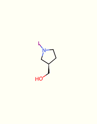 OC[C@@H]1CCN(I)C1